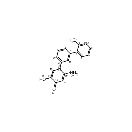 Cc1ncccc1-c1cccc(-n2cc(O)c(=O)cc2N)c1